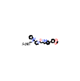 CC(=O)NCCn1c([C@@H]2CCCN(C(=O)C[C@H](N)Cc3ccc(-c4ccc5c(c4)OCCO5)cc3)C2)nc2ccccc21